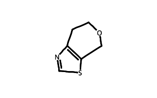 c1nc2c(s1)COCC2